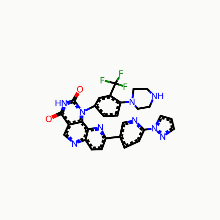 O=c1[nH]c(=O)n(-c2ccc(N3CCNCC3)c(C(F)(F)F)c2)c2c1cnc1ccc(-c3ccc(-n4cccn4)nc3)nc12